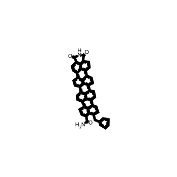 NC(=O)c1ccc2c3ccc4c5ccc6c7ccc8c9c(ccc(c%10ccc(c%11ccc(c%12ccc(Cc%13ccccc%13)c1c%122)c3c%114)c5c%106)c97)C(=O)NC8=O